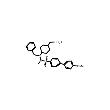 COc1ccc(-c2ccc(S(=O)(=O)N(C)N(Cc3ccccc3)C3CCC(CC(=O)O)CC3)cc2)cc1